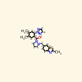 Cc1nc2ccc(CN3CCCN3C(=O)c3cc(C)c(C)cc3-n3nccn3)cc2s1